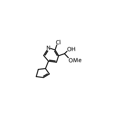 COC(O)c1cc(C2C=CCC2)cnc1Cl